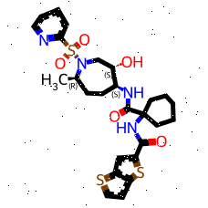 C[C@@H]1CC[C@H](NC(=O)C2(NC(=O)c3cc4sccc4s3)CCCCC2)[C@@H](O)CN1S(=O)(=O)c1ccccn1